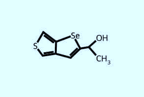 CC(O)c1cc2cscc2[se]1